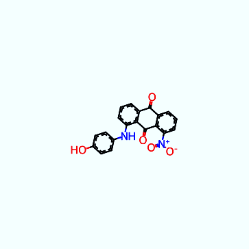 O=C1c2cccc(Nc3ccc(O)cc3)c2C(=O)c2c1cccc2[N+](=O)[O-]